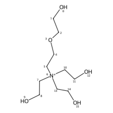 OCCOCC[N+](CCO)(CCO)CCO